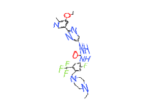 CCOc1cc(-c2ncc(NC(=O)Nc3cc(C(F)(F)F)c(CN4CCN(CC)CC4)cc3F)cn2)cnc1C